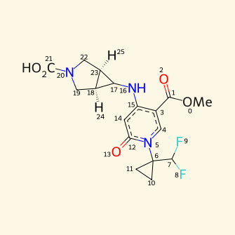 COC(=O)c1cn(C2(C(F)F)CC2)c(=O)cc1NC1[C@H]2CN(C(=O)O)C[C@@H]12